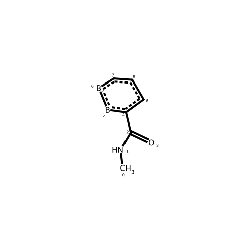 CNC(=O)c1bbccc1